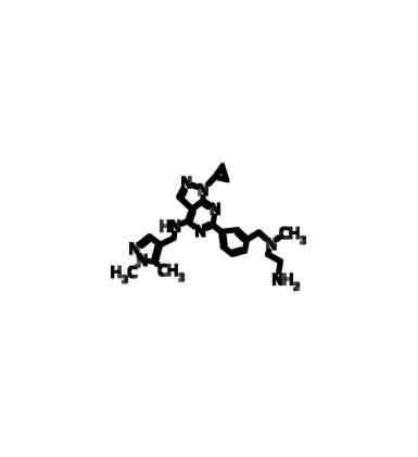 Cc1c(CNc2nc(-c3cccc(CN(C)CCN)c3)nc3c2cnn3C2CC2)cnn1C